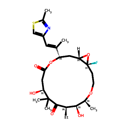 CC[C@H]1C(=O)C(C)(C)[C@@H](O)CC(=O)O[C@H](C(C)=Cc2csc(C)n2)C[C@@H]2O[C@]2(F)CCO[C@@H](C)[C@H]1O